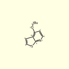 CC(C)(C)Oc1ccnc2sccc12